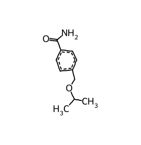 CC(C)OCc1ccc(C(N)=O)cc1